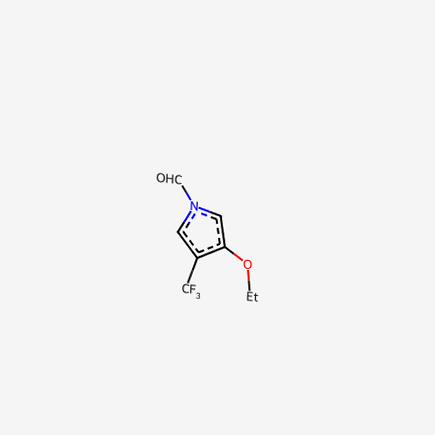 CCOc1cn(C=O)cc1C(F)(F)F